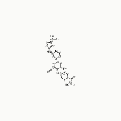 C[C@H](O)C(=O)C1CC[C@H](Oc2ccc(-c3ncnc(Nc4cnn(C(F)F)c4)n3)cc2C#N)[C@H](F)C1